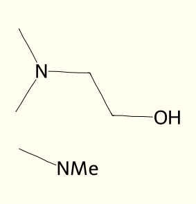 CN(C)CCO.CNC